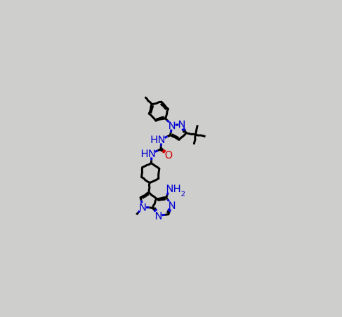 Cc1ccc(-n2nc(C(C)(C)C)cc2NC(=O)NC2CCC(c3cn(C)c4ncnc(N)c34)CC2)cc1